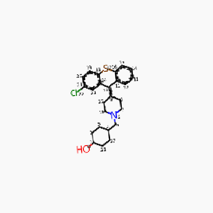 OC1CCC(CN2CCC(=C3c4ccccc4Sc4ccc(Cl)cc43)CC2)CC1